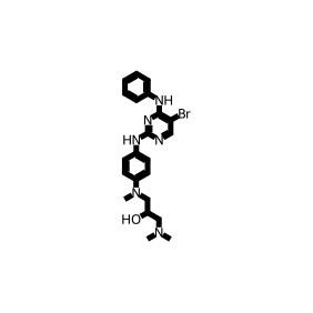 CN(C)CC(O)CN(C)c1ccc(Nc2ncc(Br)c(Nc3ccccc3)n2)cc1